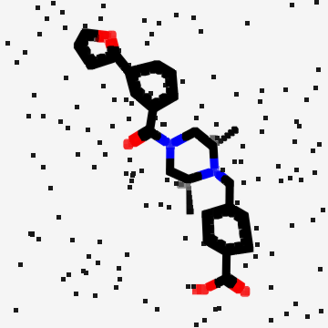 C[C@@H]1CN(C(=O)c2cccc(-c3ccco3)c2)C[C@H](C)N1Cc1ccc(C(=O)O)cc1